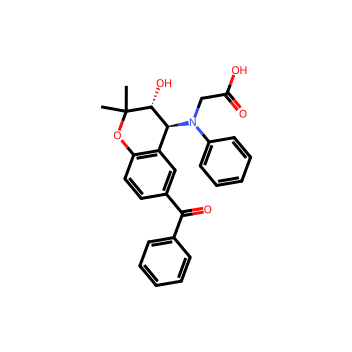 CC1(C)Oc2ccc(C(=O)c3ccccc3)cc2[C@H](N(CC(=O)O)c2ccccc2)[C@H]1O